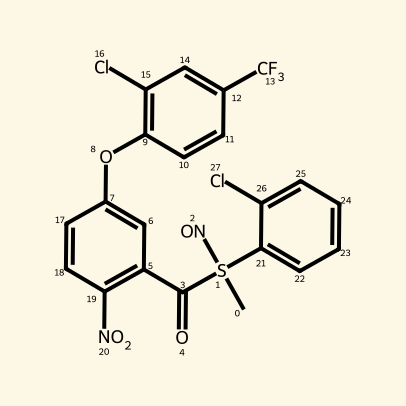 CS(N=O)(C(=O)c1cc(Oc2ccc(C(F)(F)F)cc2Cl)ccc1[N+](=O)[O-])c1ccccc1Cl